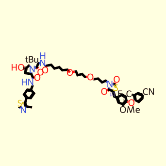 COc1cc(/C=C2\SC(=O)N(CCCCOCCCCOCCCCCC(=O)NC(C(=O)N3C[C@H](O)CC3C(=O)NCc3ccc(-c4scnc4C)cc3)C(C)(C)C)C2=O)ccc1Oc1ccc(C#N)cc1C(F)(F)F